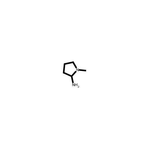 CN1CCCC1N